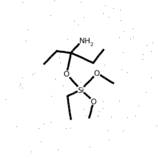 CCC(N)(CC)O[Si](CC)(OC)OC